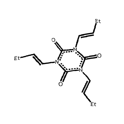 CCC=Cn1c(=O)n(C=CCC)c(=O)n(C=CCC)c1=O